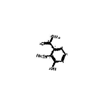 COC(=O)c1cccc(O)c1SC